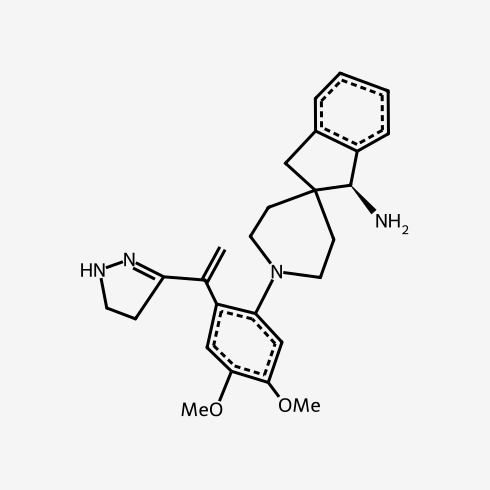 C=C(C1=NNCC1)c1cc(OC)c(OC)cc1N1CCC2(CC1)Cc1ccccc1[C@H]2N